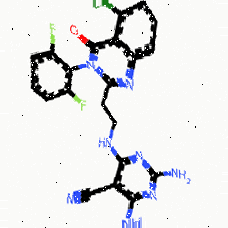 N#Cc1c(N)nc(N)nc1NCCc1nc2cccc(Cl)c2c(=O)n1-c1c(F)cccc1F